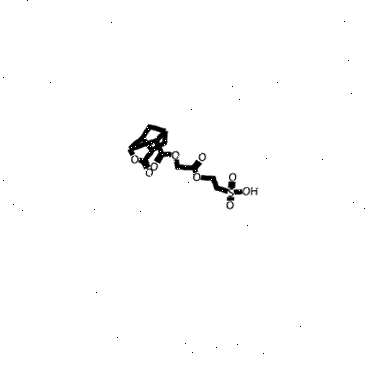 O=C(COC(=O)C1C2CC3C(=O)OC1C3C2)OCCS(=O)(=O)O